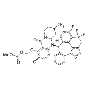 COC(=O)OCOc1c2n(ccc1=O)N([C@@H]1c3ccccc3-c3scc4c3-c3c1ccc(F)c3C(F)(F)C4)[C@@H]1CC(C(F)(F)F)CCN1C2=O